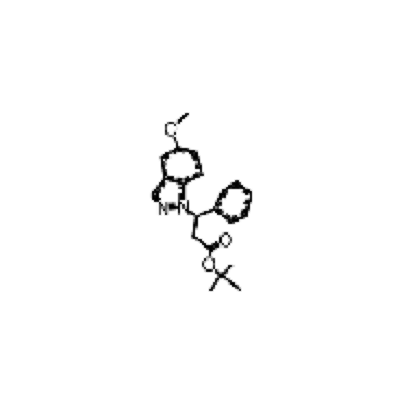 COc1ccc2c(cnn2C(CC(=O)OC(C)(C)C)c2ccccc2)c1